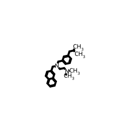 CC(C)Cc1cccc(CN(CCN(C)C)Cc2ccc3ccccc3c2)c1